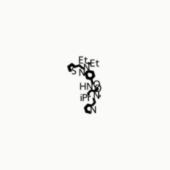 CCC(CC)n1c(Cc2cccs2)nc2cc(C(=O)NC(CC(C)C)C(=O)N(C)CCc3ccccn3)ccc21